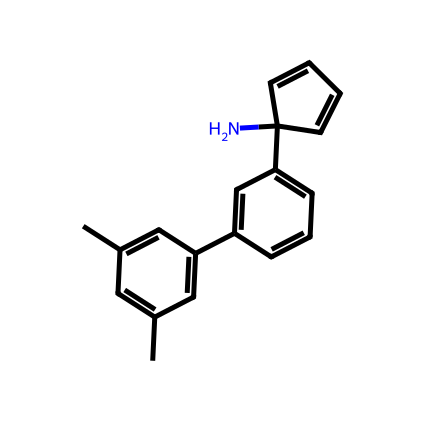 Cc1cc(C)cc(-c2cccc(C3(N)C=CC=C3)c2)c1